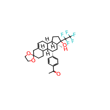 CC(=O)c1ccc([C@H]2C[C@@]3(C)[C@@H](CC[C@]3(O)C(F)(F)C(F)(F)F)[C@@H]3CC=C4CC5(CC[C@@H]4[C@H]32)OCCO5)cc1